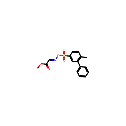 COC(=O)C=NOS(=O)(=O)c1ccc(C)c(-c2ccccc2)c1